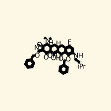 CC(C)CCNc1cc(F)c2c(c1OCc1ccccc1)C(=O)C1=C(O)[C@]3(O)C(=O)c4c(OCc5ccccc5)noc4[C@@H](N(C)C)[C@@H]3C[C@@H]1C2